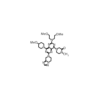 COCCN(CCOC)c1nc(N2CCN(C)C(=O)C2)c2nc(N3CCn4ncnc4C3)nc(N3CCC(OC)CC3)c2n1